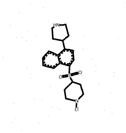 O=S(=O)(c1ccc(C2CCNCC2)c2ccccc12)C1CCN(Cl)CC1